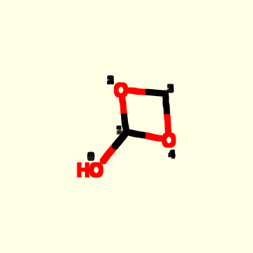 OC1OCO1